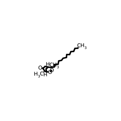 CCCCCCCCCCCC/C=C/[C@]1(C)OO[C@@H]2C[C@H]1CC(=O)[C@@H]2C